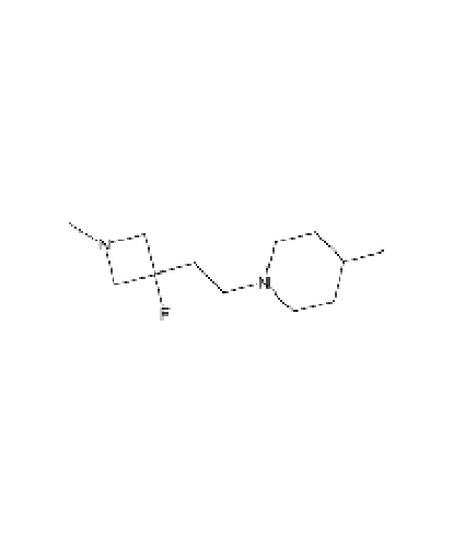 CC1CCN(CCC2(F)CN(C)C2)CC1